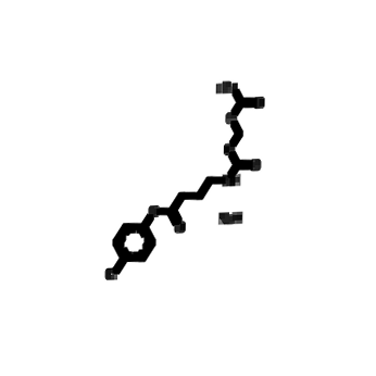 CCCCC(=O)OCOC(=O)NCCCC(=O)Oc1ccc(Cl)cc1.[NaH]